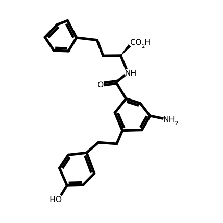 Nc1cc(CCc2ccc(O)cc2)cc(C(=O)N[C@@H](CCc2ccccc2)C(=O)O)c1